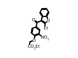 CCOC(=O)COc1ccc(C(=O)c2c(CC)oc3ccccc23)cc1[N+](=O)[O-]